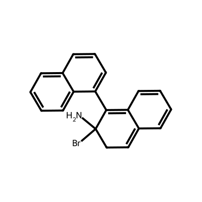 NC1(Br)CC=c2ccccc2=C1c1cccc2ccccc12